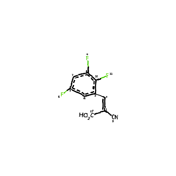 N#CC(=Cc1cc(F)cc(F)c1F)C(=O)O